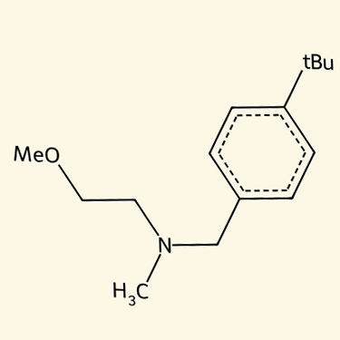 COCCN(C)Cc1ccc(C(C)(C)C)cc1